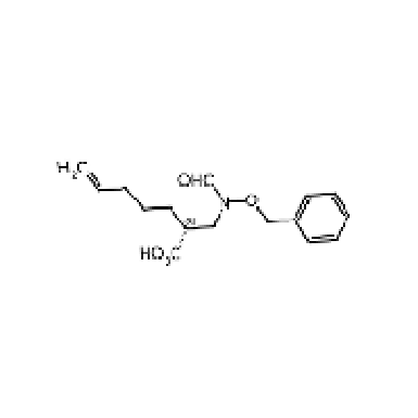 C=CCCC[C@H](CN(C=O)OCc1ccccc1)C(=O)O